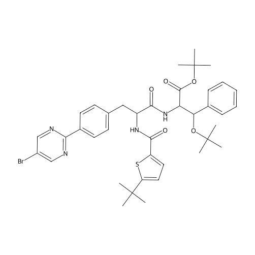 CC(C)(C)OC(=O)C(NC(=O)C(Cc1ccc(-c2ncc(Br)cn2)cc1)NC(=O)c1ccc(C(C)(C)C)s1)C(OC(C)(C)C)c1ccccc1